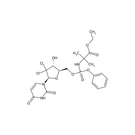 CCOC(=O)C(C)(C)NP(=O)(OC[C@H]1O[C@@H](n2ccc(=O)[nH]c2=O)C(Cl)(Cl)[C@@H]1O)Oc1ccccc1